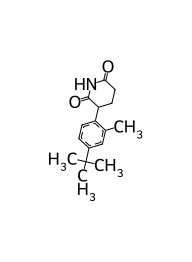 Cc1cc(C(C)(C)C)ccc1C1CCC(=O)NC1=O